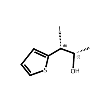 C[C@H](O)[C@@H](I)c1cccs1